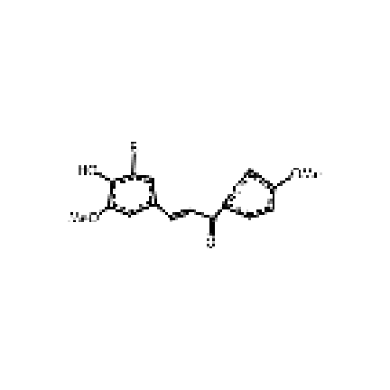 COc1ccc(C(=O)C=Cc2cc(Br)c(O)c(OC)c2)cc1